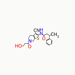 CC(CC(=O)Nc1sc2c(c1C#N)CCN(C(=O)CCO)C2)c1ccccc1